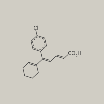 O=C(O)C=CC=C(C1=CCCCC1)c1ccc(Cl)cc1